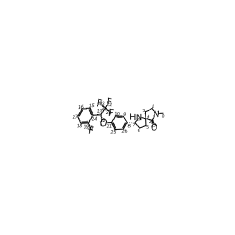 CN1CC[C@]2(CC[C@H](c3ccc(OC(c4ccccc4F)C(F)(F)F)cc3)N2)C1=O